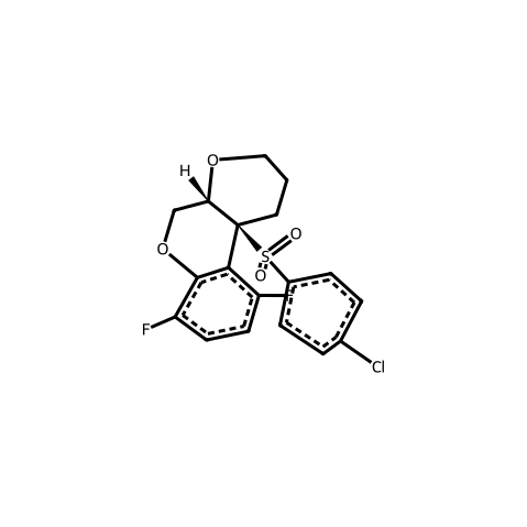 O=S(=O)(c1ccc(Cl)cc1)[C@]12CCCO[C@H]1COc1c(F)ccc(F)c12